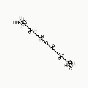 N=C1N[C@H]2[C@H](CS[C@H]2CCCCC(=O)NCCCCCC(=O)NCCOCCNC(=O)CCCCCNC(=O)CCCC[C@@H]2SC[C@@H]3NC(=O)N[C@@H]32)N1